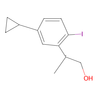 C[C](CO)c1cc(C2CC2)ccc1I